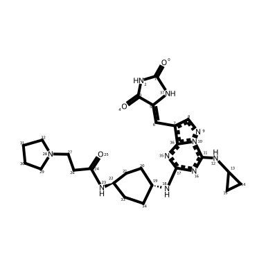 O=C1NC(=O)/C(=C/c2cnn3c(NC4CC4)nc(N[C@H]4CC[C@H](NC(=O)CCN5CCCC5)CC4)nc23)N1